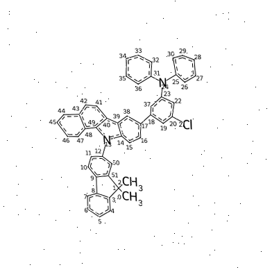 CC1(C)c2ccccc2-c2ccc(-n3c4ccc(-c5cc(Cl)cc(N(c6ccccc6)c6ccccc6)c5)cc4c4ccc5ccccc5c43)cc21